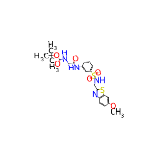 COc1ccc2nc(CNS(=O)(=O)c3cccc(NC(=O)CNC(=O)OC(C)(C)C)c3)sc2c1